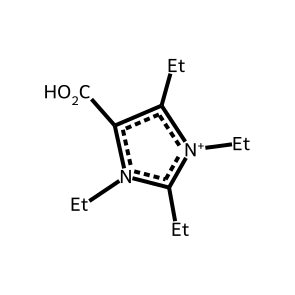 CCc1c(C(=O)O)n(CC)c(CC)[n+]1CC